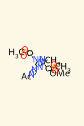 COc1ccc(-c2c(C)nn3c(NCc4cccc(S(C)(=O)=O)c4)cc(N4CCN(C(C)=O)CC4)nc23)cc1S(C)(=O)=O